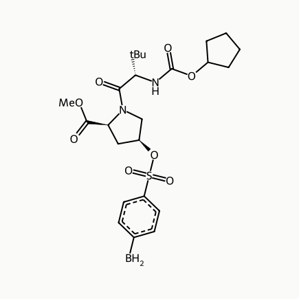 Bc1ccc(S(=O)(=O)O[C@H]2C[C@@H](C(=O)OC)N(C(=O)[C@@H](NC(=O)OC3CCCC3)C(C)(C)C)C2)cc1